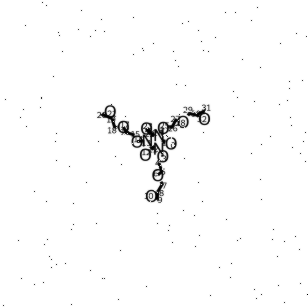 O=c1n(OCCOCC2CO2)c(=O)n(OCCOCC2CO2)c(=O)n1OCCOCC1CO1